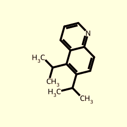 CC(C)c1ccc2ncccc2c1C(C)C